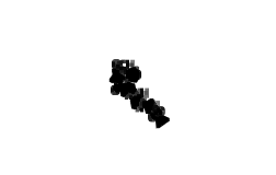 CS(=O)(=O)CC1CN(C(=O)c2cnc(Nc3ccnc(-c4cnn(S(=O)(=O)C5CC5)c4)n3)cc2NC2CCOC2)C1